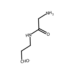 NCC(=O)NCC[C]=O